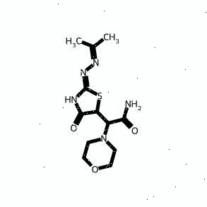 CC(C)=NN=C1NC(=O)C(C(C(N)=O)N2CCOCC2)S1